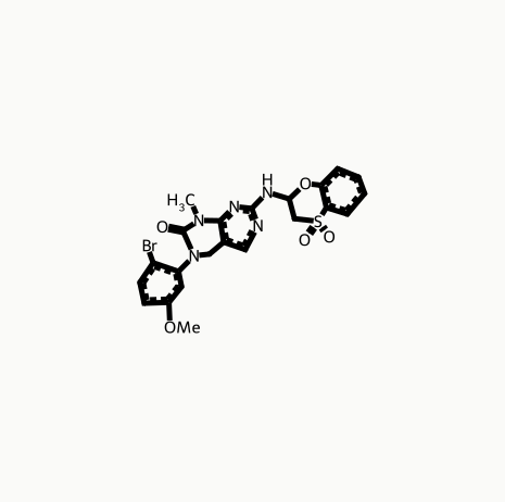 COc1ccc(Br)c(N2Cc3cnc(NC4CS(=O)(=O)c5ccccc5O4)nc3N(C)C2=O)c1